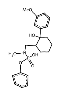 COc1cccc(C2(O)CCCCC2CN(C)P(=O)(O)Oc2ccccc2)c1